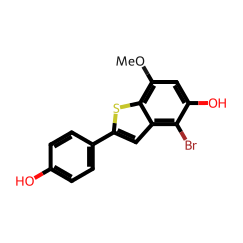 COc1cc(O)c(Br)c2cc(-c3ccc(O)cc3)sc12